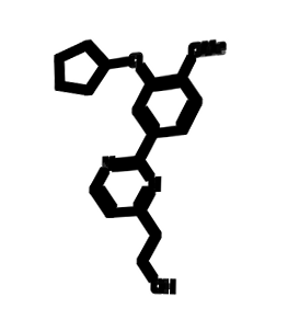 COc1ccc(-c2nccc(CCO)n2)cc1OC1CCCC1